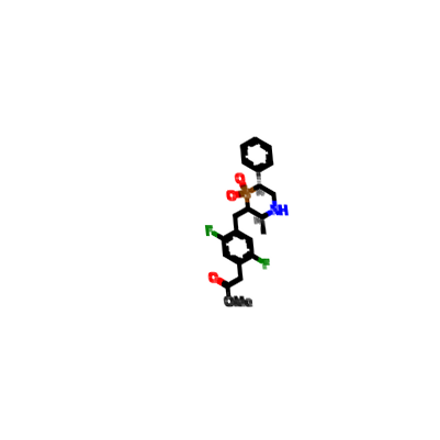 COC(=O)Cc1cc(F)c(CC2[C@H](C)NC[C@@H](c3ccccc3)S2(=O)=O)cc1F